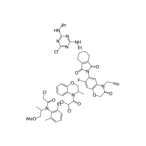 C#CCN1C(=O)COc2cc(F)c(N3C(=O)C4=C(CCCC4)C3=O)cc21.CC1COc2ccccc2N1C(=O)C(Cl)Cl.CCNc1nc(Cl)nc(NC(C)C)n1.CCc1cccc(C)c1N(C(=O)CCl)C(C)COC